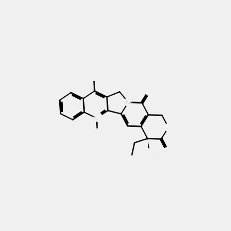 CC[C@@]1(O)C(=O)OCc2c1cc1n(c2=O)Cc2c(Cl)c3ccccc3[n+]([O-])c2-1